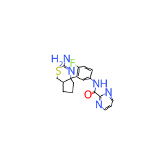 NC1=NC2(c3cc(NC(=O)c4ncccn4)ccc3F)CCCC2CS1